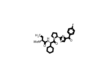 C=C[C@H](NC)C(=O)N[C@H](C(=O)N1CCC[C@H]1c1nc(C(=O)c2ccc(F)cc2)cs1)C1CCCCC1